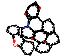 c1ccc(-c2ccccc2-c2c(-c3ccccc3)cccc2-c2ccccc2N(c2ccc3ccccc3c2)c2cccc3oc4ccccc4c23)cc1